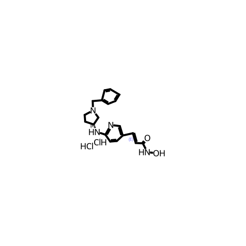 Cl.Cl.O=C(/C=C/c1ccc(N[C@@H]2CCN(Cc3ccccc3)C2)nc1)NO